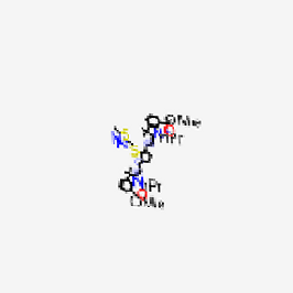 CCCN1/C(=C/C=C2\CCC(/C=C/C3=[N+](CCC)c4c(C(=O)OC)cccc4C3(C)C)=C2SCc2nnc(C)s2)C(C)(C)c2cccc(C(=O)OC)c21